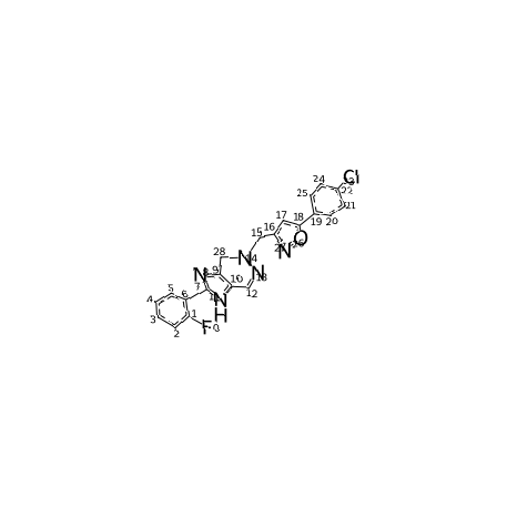 Fc1ccccc1-c1nc2c([nH]1)C=NN(Cc1cc(-c3ccc(Cl)cc3)on1)C2